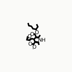 CCCCC(CC)OC(=O)C1=C(C)NC(C)=C(C(=O)OC)C1c1ccco1